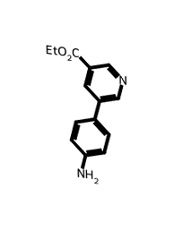 CCOC(=O)c1cncc(-c2ccc(N)cc2)c1